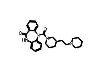 O=C1Nc2ccccc2N(C(=O)N2CCCC(CCN3CCCCC3)C2)c2ccccc21